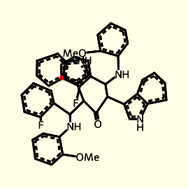 COc1ccccc1NC(c1ccccc1F)C(C(=O)C(c1c[nH]c2ccccc12)C(Nc1ccccc1OC)c1ccccc1F)c1c[nH]c2ccccc12